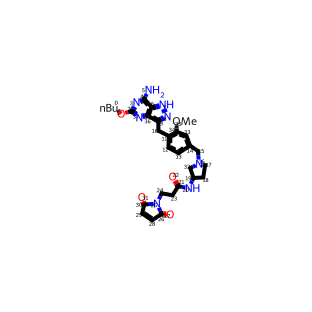 CCCCOc1nc(N)c2[nH]nc(Cc3ccc(CN4CCC(NC(=O)CCN5C(=O)C=CC5=O)C4)cc3OC)c2n1